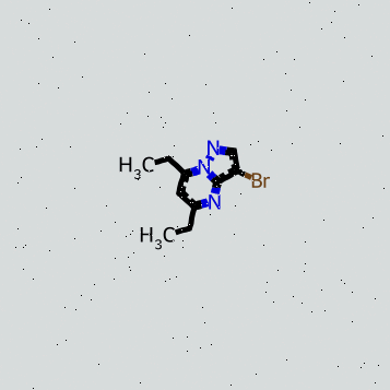 CCc1cc(CC)n2ncc(Br)c2n1